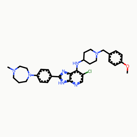 COc1ccc(CN2CCC(Nc3c(Cl)cnc4[nH]c(-c5ccc(N6CCCN(C)CC6)cc5)nc34)CC2)cc1